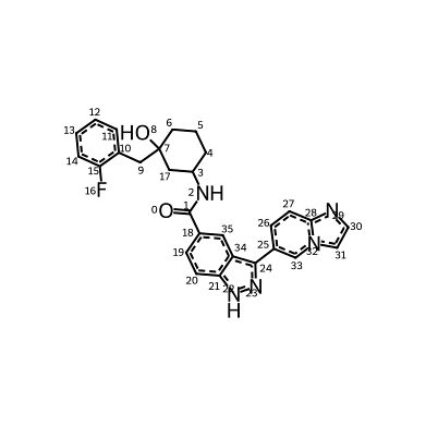 O=C(NC1CCCC(O)(Cc2ccccc2F)C1)c1ccc2[nH]nc(-c3ccc4nccn4c3)c2c1